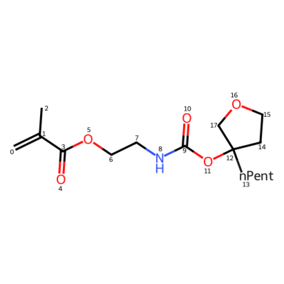 C=C(C)C(=O)OCCNC(=O)OC1(CCCCC)CCOC1